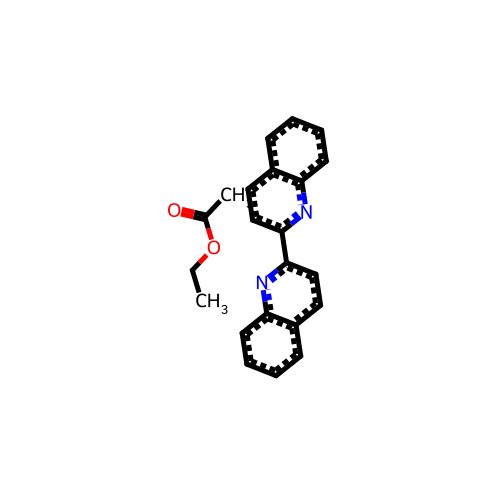 CCOC(C)=O.c1ccc2nc(-c3ccc4ccccc4n3)ccc2c1